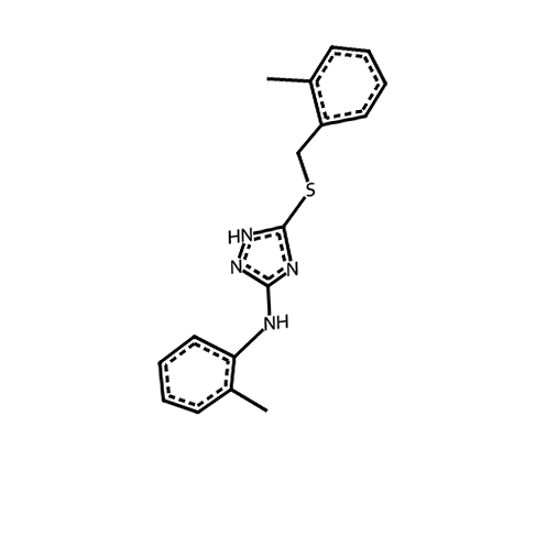 Cc1ccccc1CSc1nc(Nc2ccccc2C)n[nH]1